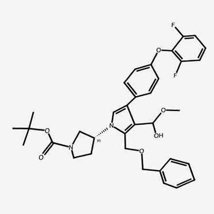 COC(O)c1c(-c2ccc(Oc3c(F)cccc3F)cc2)cn([C@@H]2CCN(C(=O)OC(C)(C)C)C2)c1COCc1ccccc1